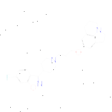 Fc1ccc2c(C3CCN(CCCOc4cc5c6c(c4)CCN6CCC5)CC3)noc2c1